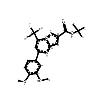 COc1ccc(-c2cc(C(F)(F)F)n3nc(C(=O)NC(C)(C)C)cc3n2)cc1OC